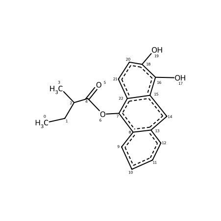 CCC(C)C(=O)Oc1c2ccccc2cc2c(O)c(O)ccc12